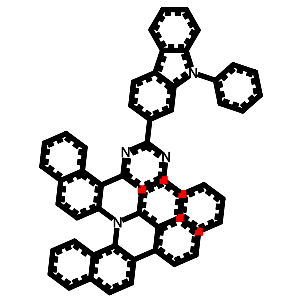 c1ccc(-c2nc(-c3ccc4c5ccccc5n(-c5ccccc5)c4c3)nc(-c3c(N4c5c(ccc6ccccc56)-c5cccc6cccc4c56)ccc4ccccc34)n2)cc1